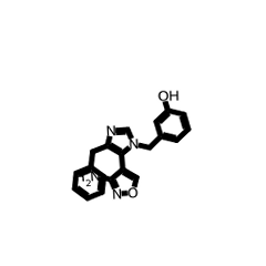 Nc1nocc1-c1c(Cc2ccccc2)ncn1Cc1cccc(O)c1